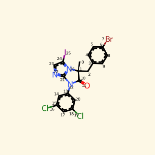 C[C@@]1(Cc2ccc(Br)cc2)C(=O)N(c2cc(Cl)cc(Cl)c2)c2ncc(I)n21